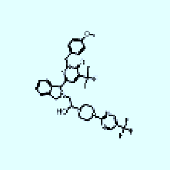 COc1ccc(Cn2nc(C3c4ccccc4CN3CC(O)N3CCN(c4ncc(C(F)(F)F)cn4)CC3)cc(C(F)(F)F)c2=O)cc1